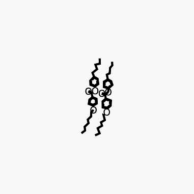 CCCCCCCOc1ccc(C(=O)Oc2ccc(CCCCC)cc2)cc1.CCCCCCCOc1ccc(C(=O)Oc2ccc(CCCCC)cc2)cc1